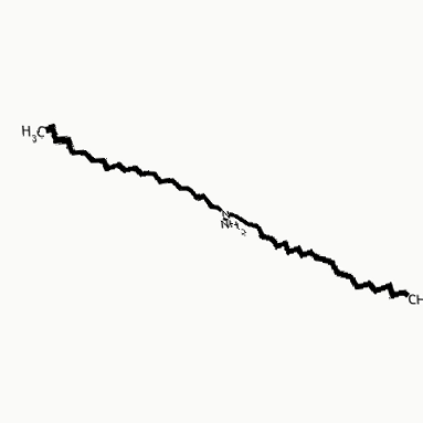 CCCCCCCCCCCCCCCCCCCCCCN(N)CCCCCCCCCCCCCCCCCCCCCC